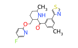 Cc1cc(C(=O)C2NC(C)CCC2COc2ccc(F)cn2)cc(-c2cscn2)c1